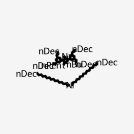 CCCCCCCCCCC=Cc1cc(C=CCCCCCCCCCC)cc(C2=C(CCCC)C(CCCCC)=C(c3cc(C=CCCCCCCCCCC)cc(C=CCCCCCCCCCC)c3)[N+]2=[N-])c1.CCCCCCCCCCCCCCCCCCCCCCCCC[CH2][Ni][CH2]CCCCCCCCCCCCCCCCCCCCCCCCC